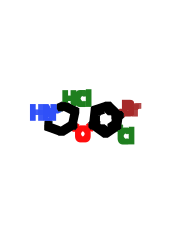 Cl.Clc1cc(OC2CCNCC2)ccc1Br